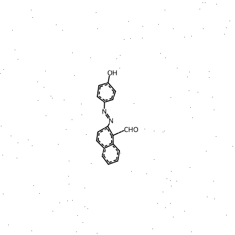 O=Cc1c(N=Nc2ccc(O)cc2)ccc2ccccc12